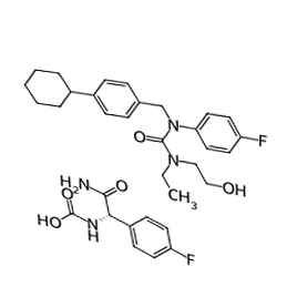 CCN(CCO)C(=O)N(Cc1ccc(C2CCCCC2)cc1)c1ccc(F)cc1.NC(=O)[C@@H](NC(=O)O)c1ccc(F)cc1